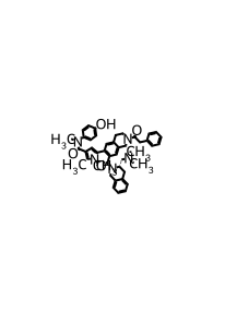 Cc1c(C(=O)N(C)c2ccc(O)cc2)cc(-c2cc3c(cc2C(=O)N2Cc4ccccc4C[C@H]2CN(C)C)CN(C(=O)Cc2ccccc2)CC3)n1C